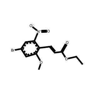 CCOC(=O)C=Cc1c(OC)cc(Br)cc1[N+](=O)[O-]